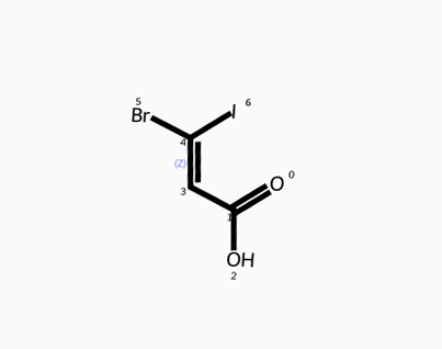 O=C(O)/C=C(/Br)I